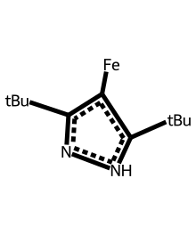 CC(C)(C)c1n[nH]c(C(C)(C)C)[c]1[Fe]